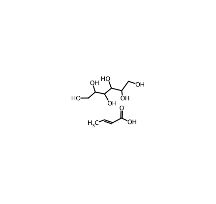 C/C=C/C(=O)O.OCC(O)C(O)C(O)C(O)CO